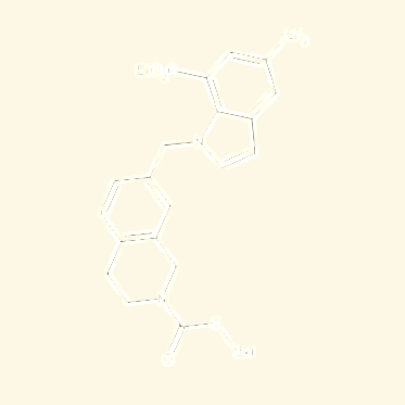 CCOC(=O)c1cc(C(F)(F)F)cc2ccn(Cc3ccc4c(c3)CN(C(=O)OC(C)(C)C)CC4)c12